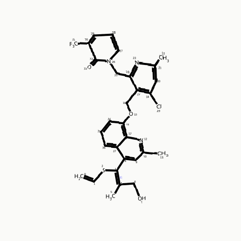 C=CS/C(=C(\C)CO)c1cc(C)nc2c(OCc3c(Cl)cc(C)nc3Cn3cccc(C(F)(F)F)c3=O)cccc12